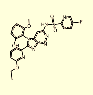 CCOC1=NC(c2nc3nnc(NS(=O)(=O)c4ccc(F)cn4)cc3n2-c2c(O)cccc2OC)=C=C=C1